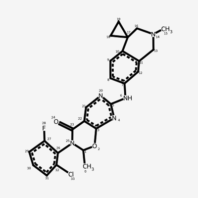 CC1Oc2nc(Nc3ccc4c(c3)CN(C)CC43CC3)ncc2C(=O)N1c1c(F)cccc1Cl